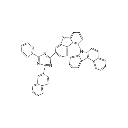 c1ccc(-c2nc(-c3ccc4ccccc4c3)nc(-c3ccc4c(c3)sc3cccc(-n5c6ccccc6c6c7ccccc7ccc65)c34)n2)cc1